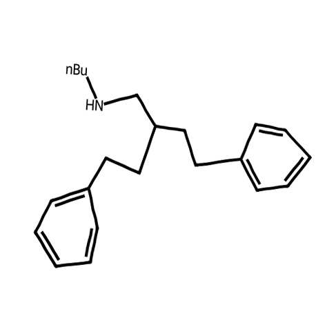 CCCCNCC(CCc1ccccc1)CCc1ccccc1